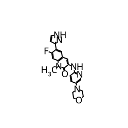 Cn1c(=O)c(Nc2ccc(N3CCOCC3)cn2)cc2cc(-c3cc[nH]n3)c(F)cc21